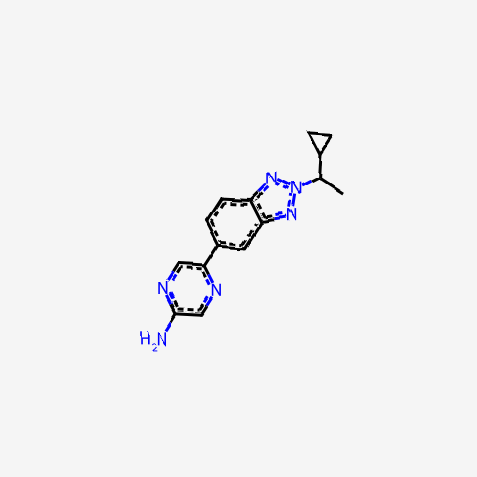 CC(C1CC1)n1nc2ccc(-c3cnc(N)cn3)cc2n1